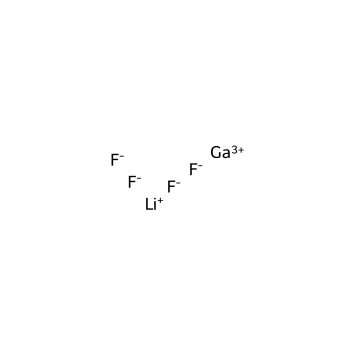 [F-].[F-].[F-].[F-].[Ga+3].[Li+]